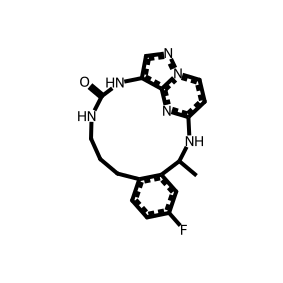 CC1Nc2ccn3ncc(c3n2)NC(=O)NCCCc2ccc(F)cc21